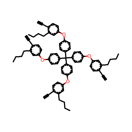 C#Cc1ccc(Oc2ccc(C(c3ccc(Oc4ccc(C#C)c(CCCC)c4)cc3)(c3ccc(Oc4ccc(C#C)c(CCCC)c4)cc3)c3ccc(Oc4ccc(C#C)c(CCCC)c4)cc3)cc2)cc1CCCC